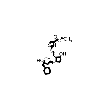 CCOC(=O)c1csc(SCC[C@H]2[C@@H](O)CC[C@@H]2C=CCC(C)(O)CC2CCCCC2)n1